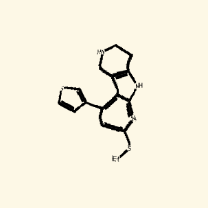 CCSc1cc(-c2ccsc2)c2c3c([nH]c2n1)CCNC3